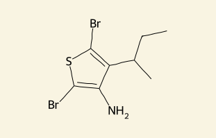 CCC(C)c1c(Br)sc(Br)c1N